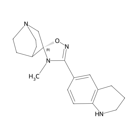 CN1C(c2ccc3c(c2)CCCN3)=NO[C@]12CN1CCC2CC1